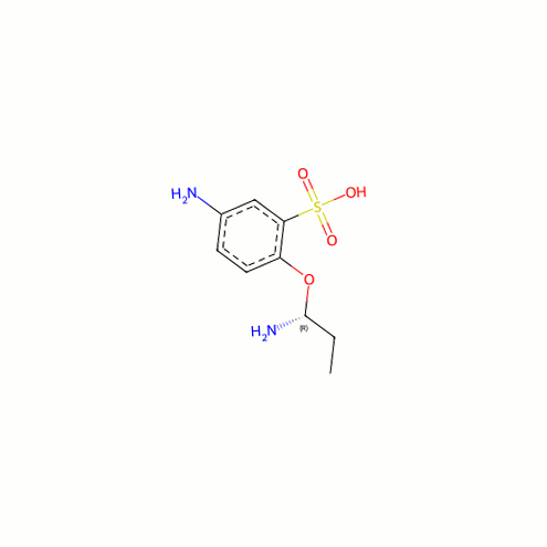 CC[C@H](N)Oc1ccc(N)cc1S(=O)(=O)O